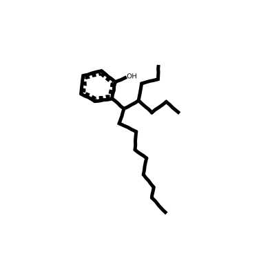 CCCCCCCCC(c1ccccc1O)C(CCC)CCC